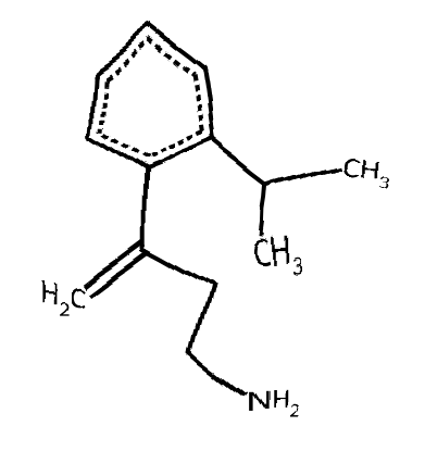 C=C(CCN)c1ccccc1C(C)C